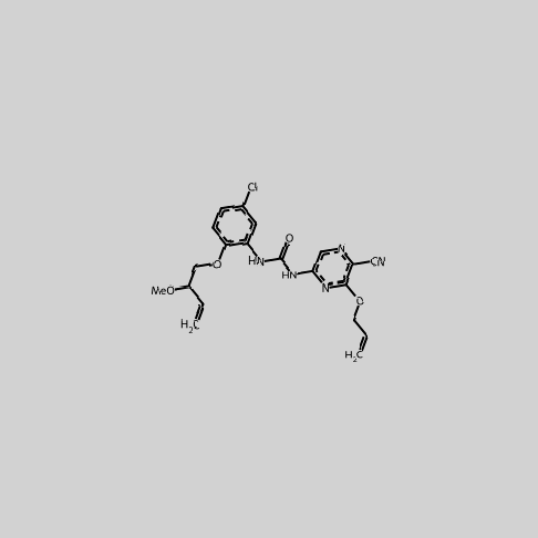 C=CCOc1nc(NC(=O)Nc2cc(Cl)ccc2OCC(C=C)OC)cnc1C#N